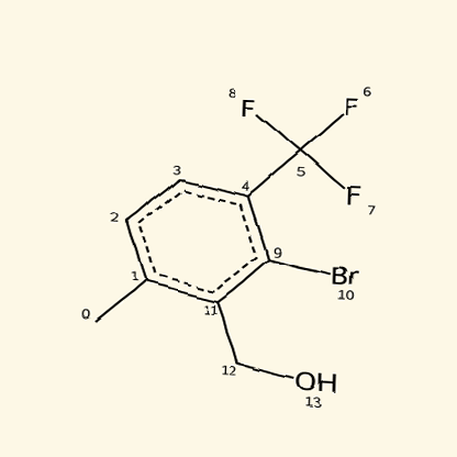 Cc1ccc(C(F)(F)F)c(Br)c1CO